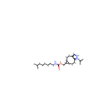 CC(C)CCCCCCNC(=O)OCC1C2CCc3cnn(C(C)C)c3CCC21